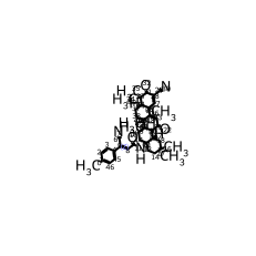 Cc1ccc(/C(C#N)=C/C(=O)N[C@]23CCC(C)(C)C[C@H]2[C@H]2C(=O)C=C4[C@@]5(C)C=C(C#N)C(=O)C(C)(C)[C@@H]5CC[C@@]4(C)[C@]2(C)CC3)cc1